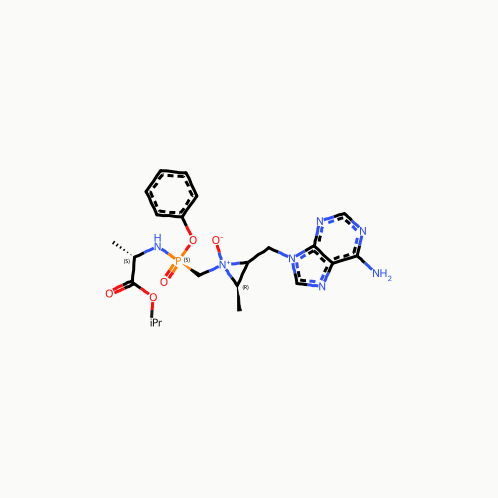 CC(C)OC(=O)[C@H](C)N[P@](=O)(C[N+]1([O-])C(Cn2cnc3c(N)ncnc32)[C@H]1C)Oc1ccccc1